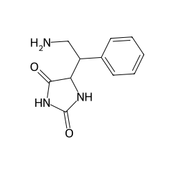 NCC(c1ccccc1)C1NC(=O)NC1=O